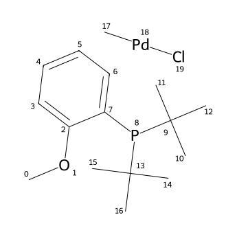 COc1ccccc1P(C(C)(C)C)C(C)(C)C.[CH3][Pd][Cl]